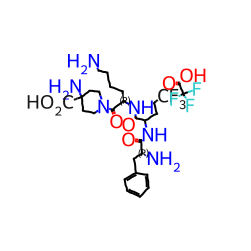 NCCCC[C@@H](NC(=O)C(CCC(F)(F)F)NC(=O)[C@H](N)Cc1ccccc1)C(=O)N1CCC(N)(C(=O)O)CC1.O=C(O)C(F)(F)F